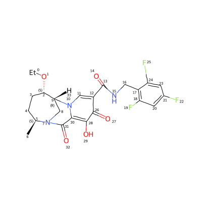 CCO[C@H]1CC[C@H](C)N2C[C@H]1n1cc(C(=O)NCc3c(F)cc(F)cc3F)c(=O)c(O)c1C2=O